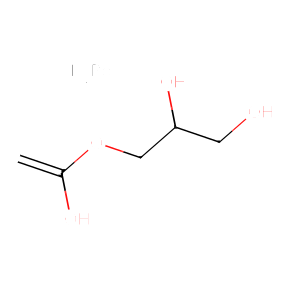 C=C(O)OCC(O)CO.[PoH2]